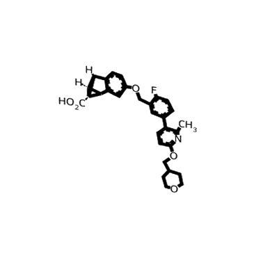 Cc1nc(OCC2CCOCC2)ccc1-c1ccc(F)c(COc2ccc3c(c2)C2[C@@H]4[C@H]3[C@@]24C(=O)O)c1